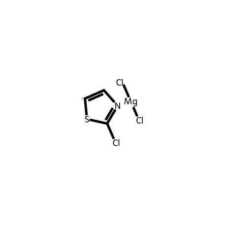 Clc1nc[c]s1.[Cl][Mg][Cl]